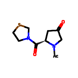 CC(=O)N1CC(=O)C[C@H]1C(=O)N1CCSC1